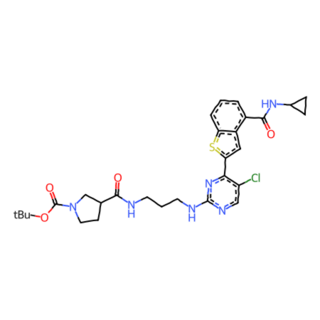 CC(C)(C)OC(=O)N1CCC(C(=O)NCCCNc2ncc(Cl)c(-c3cc4c(C(=O)NC5CC5)cccc4s3)n2)C1